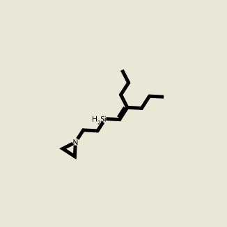 CCCC(=C[SiH2]CCN1CC1)CCC